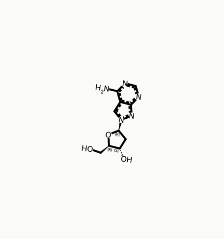 Nc1ncnc2nn([C@H]3C[C@H](O)[C@@H](CO)O3)cc12